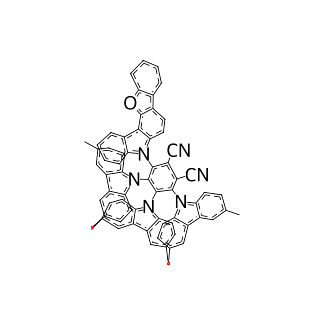 Cc1ccc2c(c1)c1cc(C)ccc1n2-c1c(C#N)c(C#N)c(-n2c3ccccc3c3c4oc5ccccc5c4ccc32)c(-n2c3ccc(C)cc3c3cc(C)ccc32)c1-n1c2ccc(C)cc2c2cc(C)ccc21